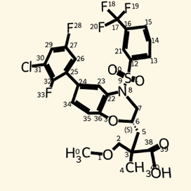 COCC(C)(C[C@H]1CN(S(=O)(=O)c2cccc(C(F)(F)F)c2)c2cc(-c3cc(F)cc(Cl)c3F)ccc2O1)C(=O)O